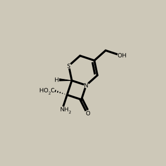 N[C@]1(C(=O)O)C(=O)N2C=C(CO)CS[C@H]21